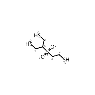 O=S(=O)(CCS)C(CS)CS